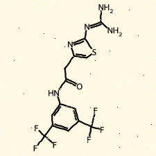 NC(N)=Nc1nc(CC(=O)Nc2cc(C(F)(F)F)cc(C(F)(F)F)c2)cs1